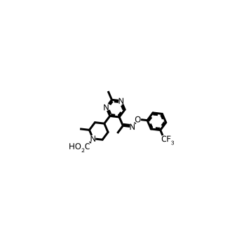 CC(=NOc1cccc(C(F)(F)F)c1)c1cnc(C)nc1C1CCN(C(=O)O)C(C)C1